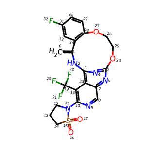 C=C1Nc2nc(nc3cnc(N4CCCS4(=O)=O)c(C(F)(F)F)c23)OCCOc2ccc(F)cc21